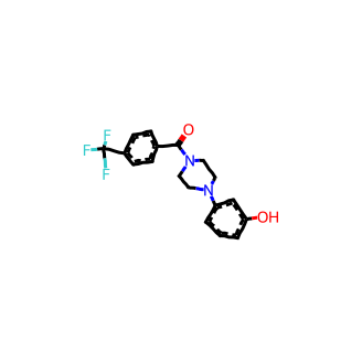 O=C(c1ccc(C(F)(F)F)cc1)N1CCN(c2cccc(O)c2)CC1